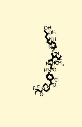 Cn1c(-c2cn(-c3ccc4[nH]c(CC(O)CO)cc4n3)nc2C(F)(F)F)cnc1C(=O)Nc1ccc(C(=O)N2CCN(C(=O)C(F)(F)F)CC2)c(Cl)c1